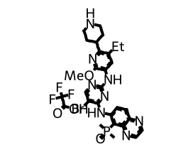 CCc1cc(Nc2ncc(Br)c(Nc3ccc4nccnc4c3P(C)(C)=O)n2)c(OC)nc1C1CCNCC1.O=C(O)C(F)(F)F